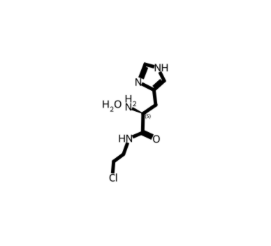 N[C@@H](Cc1c[nH]cn1)C(=O)NCCCl.O